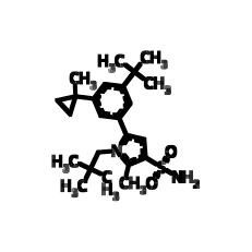 Cc1c(S(N)(=O)=O)cc(-c2cc(C(C)(C)C)cc(C3(C)CC3)c2)n1CC(C)(C)C